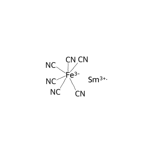 N#[C][Fe-3]([C]#N)([C]#N)([C]#N)([C]#N)[C]#N.[Sm+3]